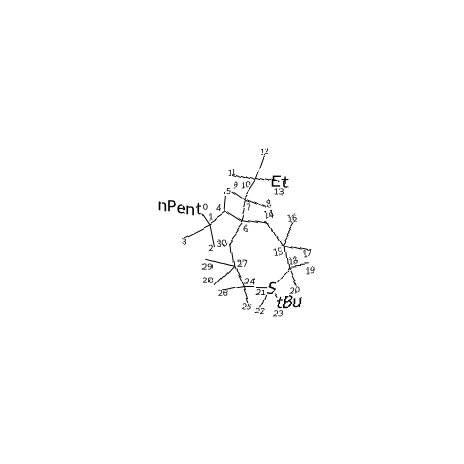 CCCCCC(C)(C)C(C)C1(C(C)(C)C(C)(C)CC)CC(C)(C)C(C)(C)S(C)(C(C)(C)C)C(C)(C)C(C)(C)C1